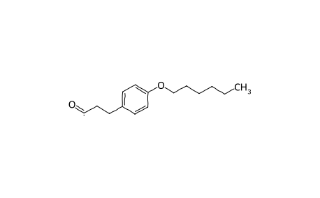 CCCCCCOc1ccc(CC[C]=O)cc1